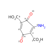 NC1=C(C(=O)O)C(=O)C=C(C(=O)O)C1=O